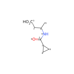 CC(CC(=O)O)NC(=O)C1CC1